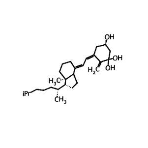 C=C1/C(=C\C=C2/CCC[C@@]3(C)C2CC[C@@H]3[C@H](C)CCCC(C)C)C[C@@H](O)CC1(O)O